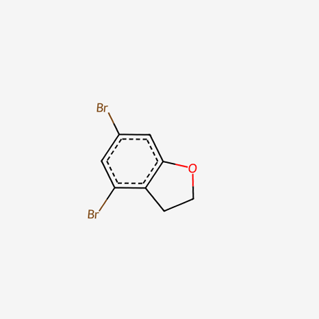 Brc1cc(Br)c2c(c1)OCC2